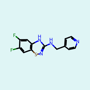 Fc1cc2c(cc1F)SN=C(NCc1ccncc1)N2